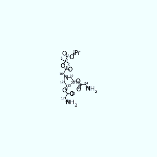 CC(C)OC(=O)C(C)(C)OC(=O)CN(CCOC(=O)CN)CCOC(=O)CN